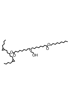 CCCCCCCCCOC(=O)CCCCCCCN(CCO)CCCCCCCC(=O)OC(CCC1CC1CCCC)CCC1CC1CCCC